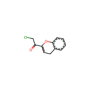 O=C(CCl)C1=CCc2ccccc2O1